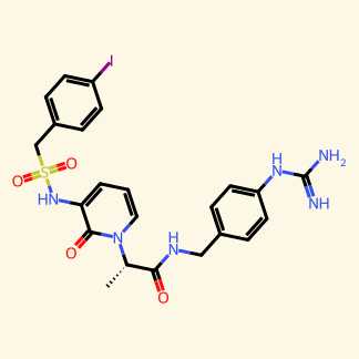 C[C@@H](C(=O)NCc1ccc(NC(=N)N)cc1)n1cccc(NS(=O)(=O)Cc2ccc(I)cc2)c1=O